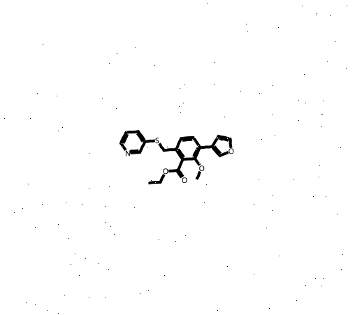 CCOC(=O)c1c(CSc2cccnc2)ccc(-c2ccoc2)c1OC